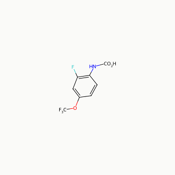 O=C(O)Nc1ccc(OC(F)(F)F)cc1F